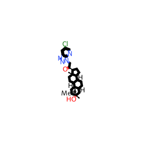 COC[C@]12CC[C@@](C)(O)C[C@@H]1CC[C@H]1C3CC[C@H](C(=O)Cn4nnc5cc(Cl)cnc54)[C@@]3(C)CC[C@@H]12